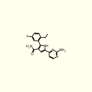 CCc1ccc(F)cc1-c1[nH]c(-c2ccnc(N)n2)cc1C(N)=O